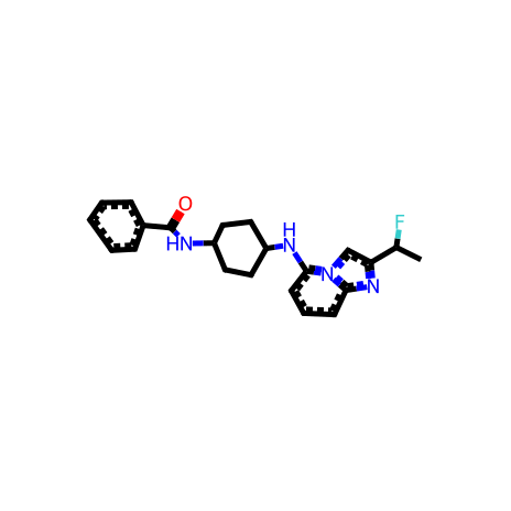 CC(F)c1cn2c(NC3CCC(NC(=O)c4ccccc4)CC3)cccc2n1